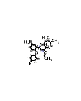 CCO/C(=C/C(=N\C)c1cc(N)ccc1Oc1ccc(F)cc1F)C1=NN=C(C)C(C)CC1